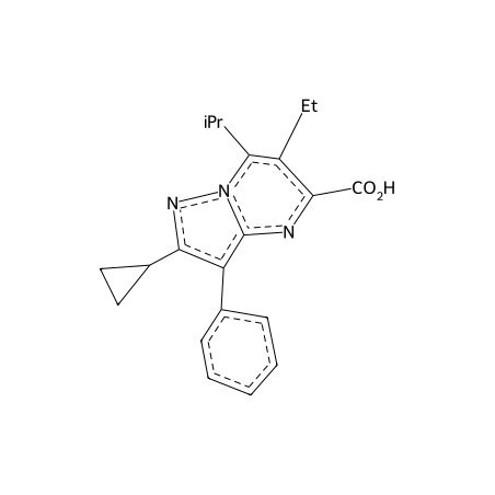 CCc1c(C(=O)O)nc2c(-c3ccccc3)c(C3CC3)nn2c1C(C)C